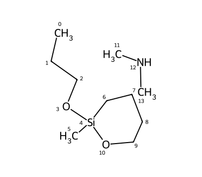 CCCO[Si]1(C)CCCCO1.CNC